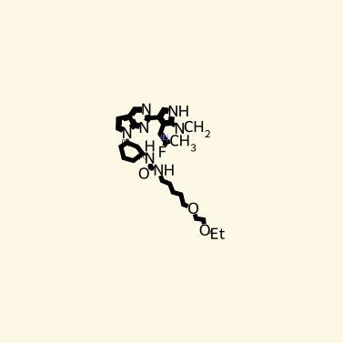 C=Nc1[nH]cc(-c2ncc3ccn([C@H]4CCC[C@@H](NC(=O)NCCCCCOCCOCC)C4)c3n2)c1/C=C(\C)F